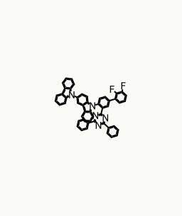 Fc1cccc(-c2ccc(-n3c4ccccc4c4cc(-n5c6ccccc6c6ccccc65)ccc43)c(-c3nc(-c4ccccc4)nc(-c4ccccc4)n3)c2)c1F